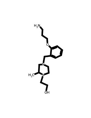 CC1CN(Cc2ccccc2OCCCN)CCN1CCO